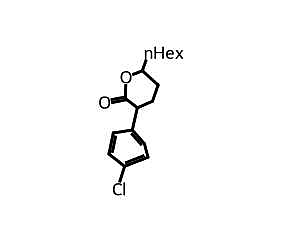 CCCCCCC1CCC(c2ccc(Cl)cc2)C(=O)O1